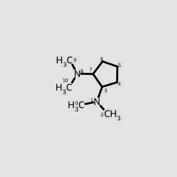 CN(C)C1CCCC1N(C)C